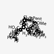 CCCCCOC(=O)COc1cc(N2C(=O)C3=C(CCCC3)C2=O)c(F)cc1Cl.COc1cc(OC)nc(NC(=O)NS(=O)(=O)c2ncccc2C(=O)N(C)C)n1.C[S+](C)C.O=C(Nc1nc(OC(F)F)cc(OC(F)F)n1)NS(=O)(=O)c1ccccc1C(=O)O.O=C(O)CNCP(=O)([O-])O